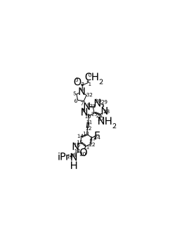 C=CC(=O)N1CCC(n2nc(C#Cc3cc4nc(NC(C)C)oc4cc3F)c3c(N)ncnc32)C1